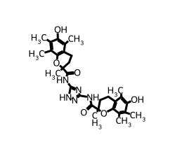 Cc1c(C)c2c(c(C)c1O)CCC(C)(C(=O)Nc1n[nH]c(NC(=O)C3(C)CCc4c(C)c(O)c(C)c(C)c4O3)n1)O2